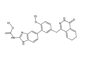 C=C(Nc1nc2cc(-c3cc(Cc4n[nH]c(=O)c5c4=CCCC=5)ccc3OCC)ccc2[nH]1)OCC